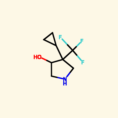 OC1CNCC1(C1CC1)C(F)(F)F